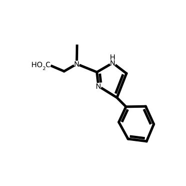 CN(CC(=O)O)c1nc(-c2ccccc2)c[nH]1